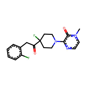 Cn1ccnc(N2CCC(F)(C(=O)Cc3ccccc3F)CC2)c1=O